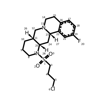 O=S(=O)(CCCCl)N1CCC[C@@H]2CN3CCc4ccc(F)cc4[C@@H]3C[C@@H]21